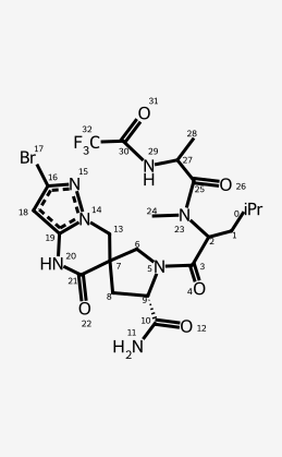 CC(C)CC(C(=O)N1CC2(C[C@H]1C(N)=O)Cn1nc(Br)cc1NC2=O)N(C)C(=O)C(C)NC(=O)C(F)(F)F